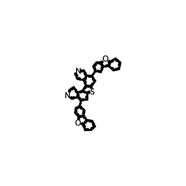 c1ccc2c(c1)oc1ccc(-c3cc4sc5cc(-c6ccc7oc8ccccc8c7c6)c6cnccc6c5c4c4ccncc34)cc12